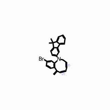 C=C1/C=C\C=C/CN(c2ccc3c(c2)-c2ccccc2C3(C)C)c2cc(Br)ccc21